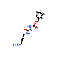 NCC#CCNC(=O)CNC(=O)OCc1ccccc1